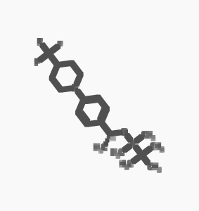 C[C@@H](O[Si](C)(C)C(C)(C)C)c1ccc(N2CCC(C(F)(F)F)CC2)cc1